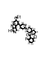 CCOc1cc(-c2ccc(N3CCC4(CCCN4C(=O)c4c(F)cccc4Cl)CC3)nc2)c2c3cn[nH]c3nn2c1